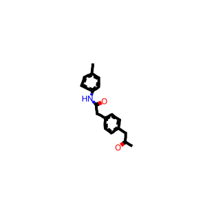 CC(=O)Cc1ccc(CC(=O)Nc2ccc(C)cc2)cc1